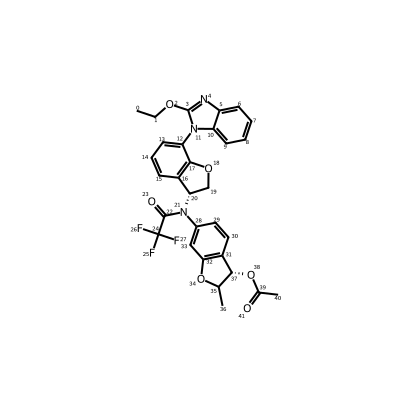 CCOc1nc2ccccc2n1-c1cccc2c1OC[C@@H]2N(C(=O)C(F)(F)F)c1ccc2c(c1)OC(C)[C@H]2OC(C)=O